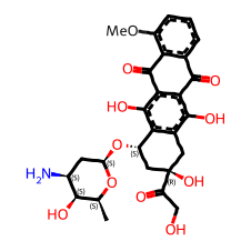 COc1cccc2c1C(=O)c1c(O)c3c(c(O)c1C2=O)C[C@](O)(C(=O)CO)C[C@@H]3O[C@@H]1C[C@H](N)[C@H](O)[C@H](C)O1